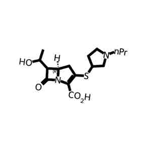 CCCN1CCC(SC2=C(C(=O)O)N3C(=O)C(C(C)O)[C@H]3C2)C1